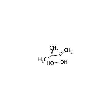 C=CC(=C)C.OO